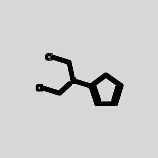 Cl[CH2][V]([CH2]Cl)[C]1=CC=CC1